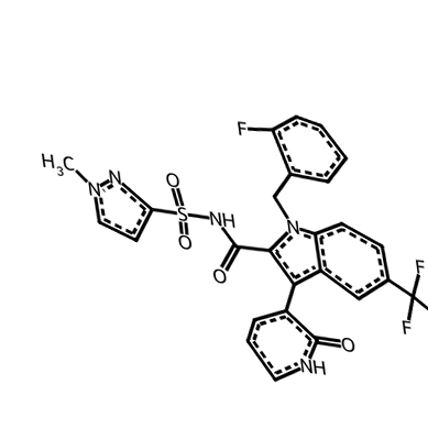 Cn1ccc(S(=O)(=O)NC(=O)c2c(-c3ccc[nH]c3=O)c3cc(C(F)(F)F)ccc3n2Cc2ccccc2F)n1